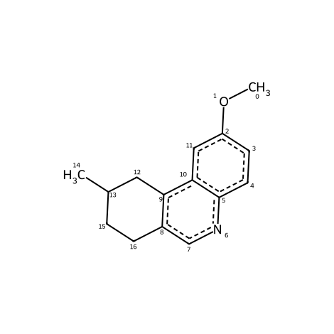 COc1ccc2ncc3c(c2c1)CC(C)CC3